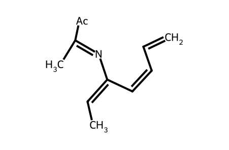 C=C\C=C/C(=C\C)/N=C(\C)C(C)=O